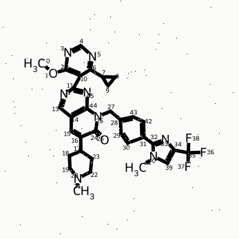 COc1ncnc(C2CC2)c1-c1ncc2cc(C3CCN(C)CC3)c(=O)n(Cc3ccc(-c4nc(C(F)(F)F)cn4C)cc3)c2n1